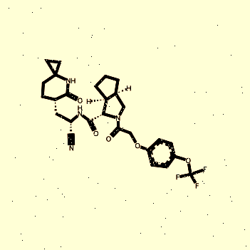 N#C[C@H](C[C@@H]1CCC2(CC2)NC1=O)NC(=O)[C@@H]1[C@H]2CCC[C@H]2CN1C(=O)COc1ccc(OC(F)(F)F)cc1